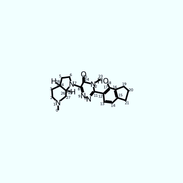 CN1CC[C@@H]2CCN(c3nnc(-c4ccc5c(c4O)CCC5)n(C)c3=O)[C@@H]2C1